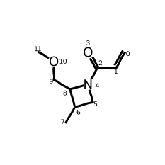 C=CC(=O)N1CC(C)C1COC